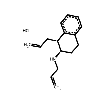 C=CCN[C@@H]1CCc2ccccc2[C@@H]1CC=C.Cl